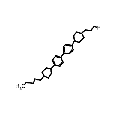 CCCCCC1CCC(c2ccc(-c3ccc(C4CCC(CCCF)CC4)cc3)cc2)CC1